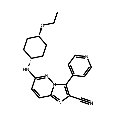 CCO[C@H]1CC[C@H](Nc2ccc3nc(C#N)c(-c4ccncc4)n3n2)CC1